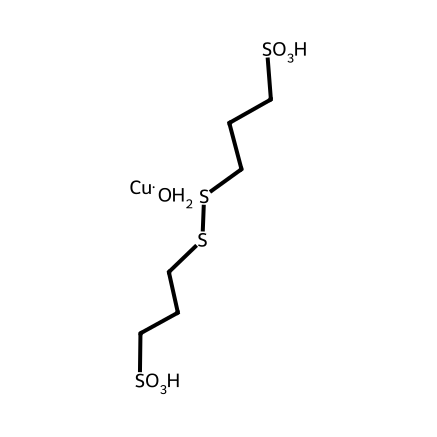 O.O=S(=O)(O)CCCSSCCCS(=O)(=O)O.[Cu]